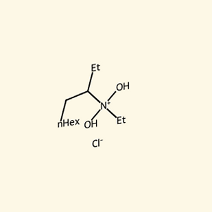 CCCCCCCC(CC)[N+](O)(O)CC.[Cl-]